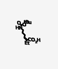 CCC(=CCCCNC(=O)OC(C)(C)C)C(=O)O